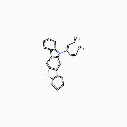 C=C/C=C(\C=C/C)n1c2ccccc2c2cc3c(cc21)-c1ccccc1B3